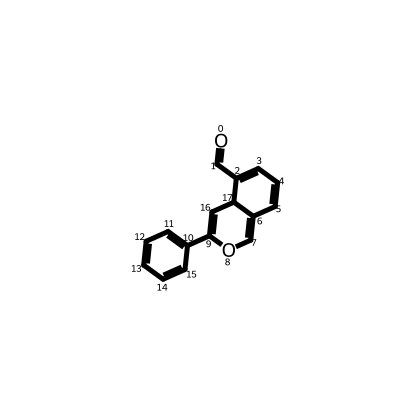 O=CC1=CC=CC2=COC(c3ccccc3)=CC12